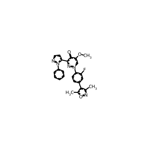 COc1cn(-c2ccc(-c3c(C)noc3C)cc2F)nc(-c2ccnn2-c2ccccc2)c1=O